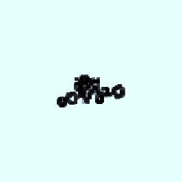 COc1ccc(-c2ncc(NC(=O)OCc3ccccc3)c(=O)n2OC(C)=O)cc1